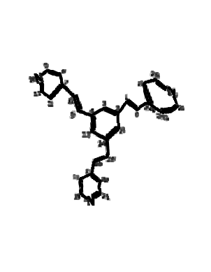 C(=Cc1cc(C=Cc2ccncc2)cc(C=Cc2ccncc2)c1)c1ccncc1